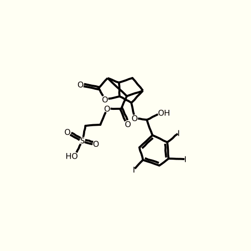 O=C1OC2C3CC(C2OC(O)c2cc(I)cc(I)c2I)C(C(=O)OCCS(=O)(=O)O)C13